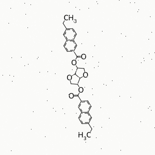 CCc1ccc2cc(C(=O)OC3COC4C(OC(=O)c5ccc6cc(CC)ccc6c5)COC34)ccc2c1